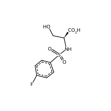 O=C(O)[C@H](CO)NS(=O)(=O)c1ccc(F)cc1